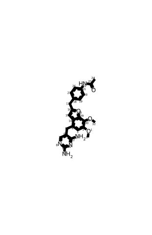 COc1cc(Cc2cnc(N)nc2N)c2cc(Cc3ccc(NC(C)=O)cc3)oc2c1OC